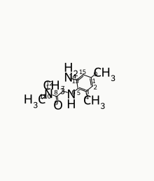 Cc1cc(C)c(NCC(=O)N(C)C)c(N)c1